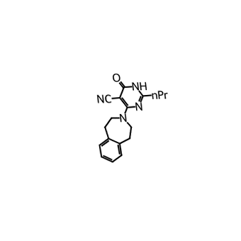 CCCc1nc(N2CCc3ccccc3CC2)c(C#N)c(=O)[nH]1